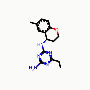 CCc1nc(N)nc(N[C@@H]2CCOc3ccc(C)cc32)n1